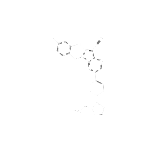 CSNC[C@@H]1CCCN1[C@H]1CC=C(c2cnc3c(C#N)nn([C@H](C)c4ccc(Cl)cc4Cl)c3n2)C[C@H]1C